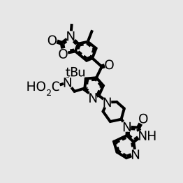 Cc1cc(C(=O)c2cc(CN(C(=O)O)C(C)(C)C)nc(N3CCC(n4c(=O)[nH]c5ncccc54)CC3)c2)cc2oc(=O)n(C)c12